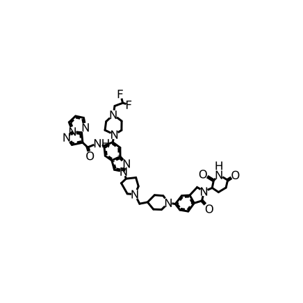 O=C1CCC(N2Cc3cc(N4CCC(CN5CCC(n6cc7cc(NC(=O)c8cnn9cccnc89)c(N8CCN(CC(F)F)CC8)cc7n6)CC5)CC4)ccc3C2=O)C(=O)N1